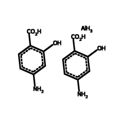 Nc1ccc(C(=O)O)c(O)c1.Nc1ccc(C(=O)O)c(O)c1.[AlH3]